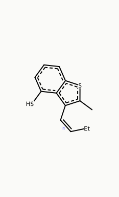 CC/C=C\c1c(C)sc2cccc(S)c12